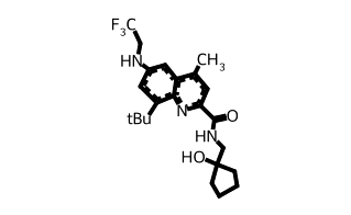 Cc1cc(C(=O)NCC2(O)CCCC2)nc2c(C(C)(C)C)cc(NCC(F)(F)F)cc12